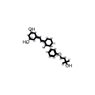 C[C@H]1/C(=C/C=C2C[C@@H](O)C[C@H](O)C2)CCC[C@@H]1c1cccc(OCCC(C)(C)O)c1